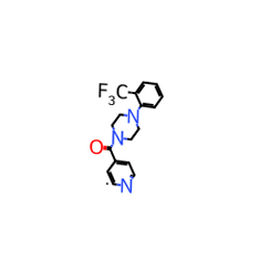 O=C(c1c[c]ncc1)N1CCN(c2ccccc2C(F)(F)F)CC1